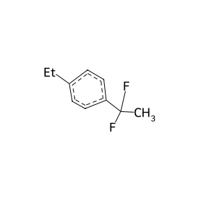 CCc1ccc(C(C)(F)F)cc1